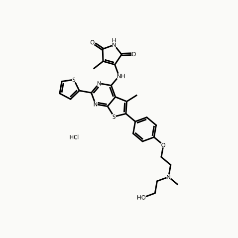 CC1=C(Nc2nc(-c3cccs3)nc3sc(-c4ccc(OCCN(C)CCO)cc4)c(C)c23)C(=O)NC1=O.Cl